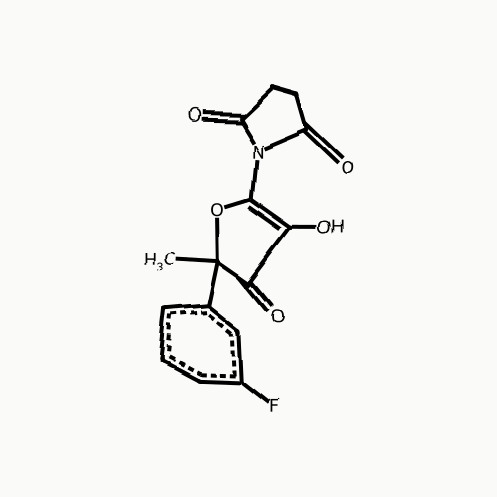 CC1(c2cccc(F)c2)OC(N2C(=O)CCC2=O)=C(O)C1=O